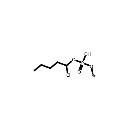 CCCCC(Cl)OP(=O)(O)OBr